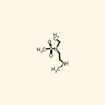 CCN(CCNC)S(C)(=O)=O